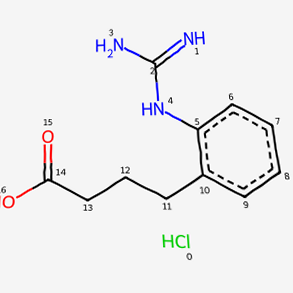 Cl.N=C(N)Nc1ccccc1CCCC(=O)O